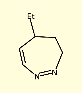 CCC1C=CN=NCC1